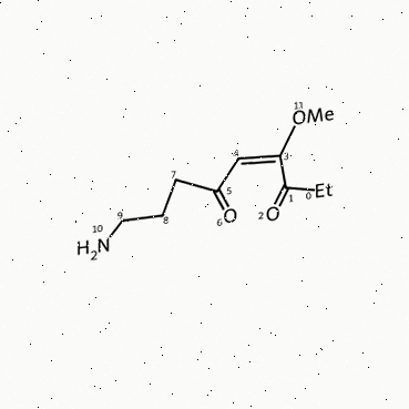 CCC(=O)/C(=C\C(=O)CCCN)OC